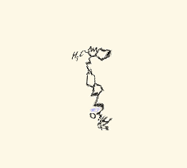 Cc1nn2ccccc2c1CCN1CCc2cc(/C=C/C(=O)NO)ccc2C1